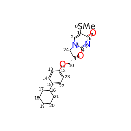 CSc1cn2c(nc1=O)O[C@H](COc1ccc(C3CCCCC3)cc1)C2